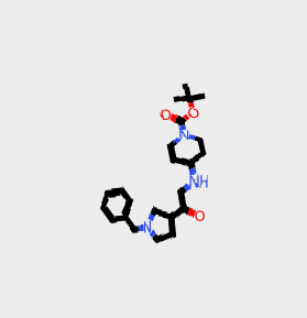 CC(C)(C)OC(=O)N1CCC(NCC(=O)C2CCN(Cc3ccccc3)C2)CC1